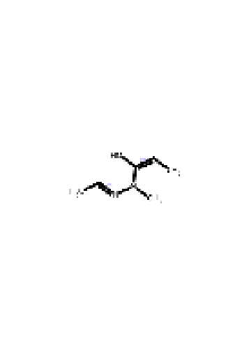 C/C=N/N(C)/C(O)=C\C